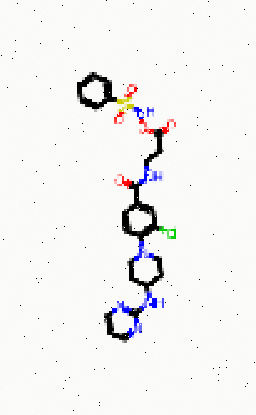 O=C(CCNC(=O)c1ccc(N2CCC(Nc3ncccn3)CC2)c(Cl)c1)ONS(=O)(=O)c1ccccc1